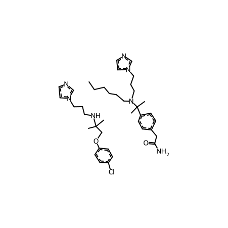 CC(C)(COc1ccc(Cl)cc1)NCCCn1ccnc1.CCCCCCN(CCCn1ccnc1)C(C)(C)c1ccc(CC(N)=O)cc1